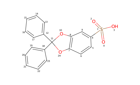 O=S(=O)(O)c1ccc2c(c1)OC(c1ccccc1)(c1ccccc1)O2